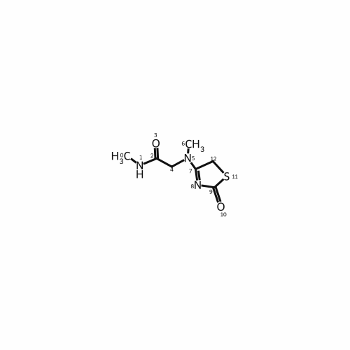 CNC(=O)CN(C)C1=NC(=O)SC1